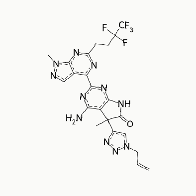 C=CCn1cc(C2(C)C(=O)Nc3nc(-c4nc(CCC(F)(F)C(F)(F)F)nc5c4cnn5C)nc(N)c32)nn1